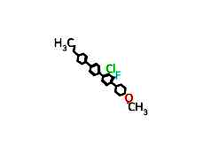 CCCC1CC=C(c2ccc(-c3ccc(C4CCC(OCC)CC4)c(F)c3Cl)cc2)CC1